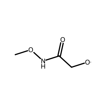 CONC(=O)C[O]